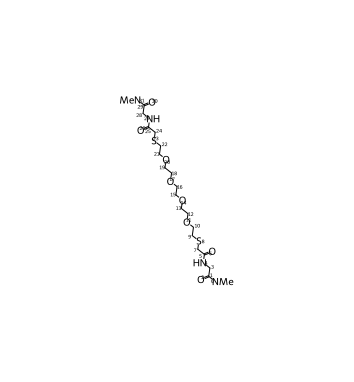 CNC(=O)CNC(=O)CSCCOCCOCCOCCOCCSCC(=O)NCC(=O)NC